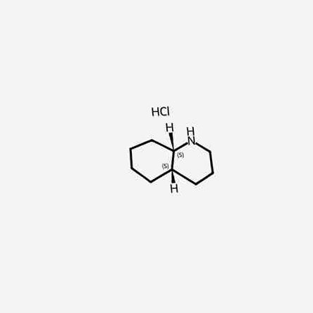 C1CC[C@@H]2NCCC[C@@H]2C1.Cl